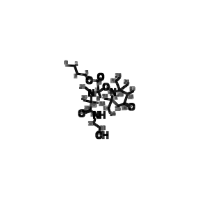 CCCCOC(=O)C(C)(ON1C(C)(CC)CC(=O)C(C)C1(C)CC)N(C)C(C)(C)C(=O)NCCO